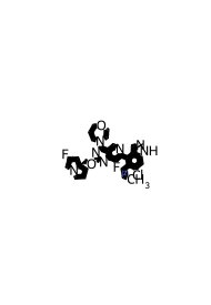 C/C=C\c1c(Cl)cc2[nH]ncc2c1-c1ncc2c(N3CCCOCC3)nc(OC[C@@]34CCCN3C[C@H](F)C4)nc2c1F